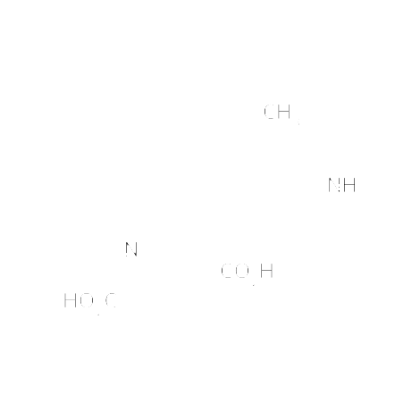 C[C@H]1CCCN1.O=C(O)C1CCCN1C(=O)O